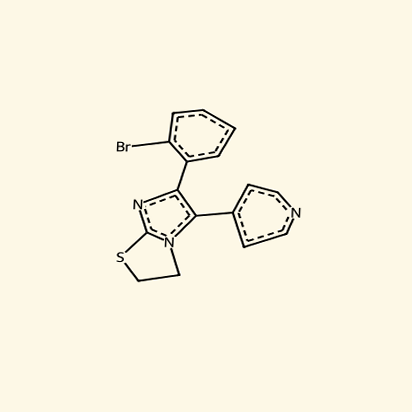 Brc1ccccc1-c1nc2n(c1-c1ccncc1)CCS2